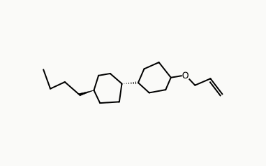 C=CCOC1CCC([C@H]2CC[C@H](CCCC)CC2)CC1